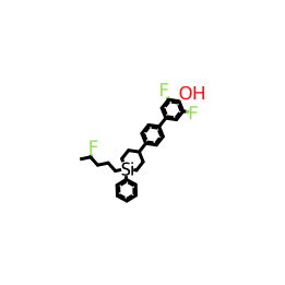 CC(F)CCC[Si]1(c2ccccc2)CCC(c2ccc(-c3cc(F)c(O)c(F)c3)cc2)CC1